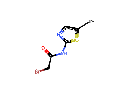 CC(C)c1cnc(NC(=O)CBr)s1